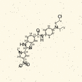 CCN(CCCl)c1ccc(NC(=O)c2ccc3[nH]c(-c4cc([N+](=O)[O-])cn4C)nc3c2)cc1